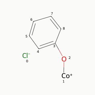 [Cl-].[Co+][O]c1ccccc1